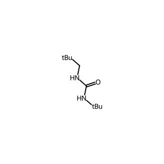 CC(C)(C)CNC(=O)NC(C)(C)C